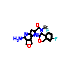 CCN(C(=O)c1cc2nc(N)c3c(c2[nH]1)COC3)[C@H]1COCc2cc(F)cc(F)c21